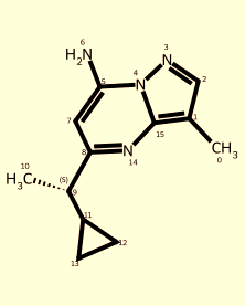 Cc1cnn2c(N)cc([C@@H](C)C3CC3)nc12